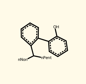 CCCCCCCCCC(CCCCC)c1ccccc1-c1ccccc1O